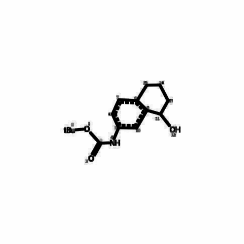 CC(C)(C)OC(=O)Nc1ccc2c(c1)C(O)CCC2